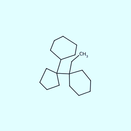 CCC1(C2(C3CCCCC3)CCCC2)CCCCC1